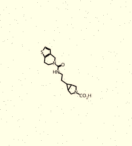 O=C(O)N1CC2C(CCNC(=O)N3CCc4sccc4C3)C2C1